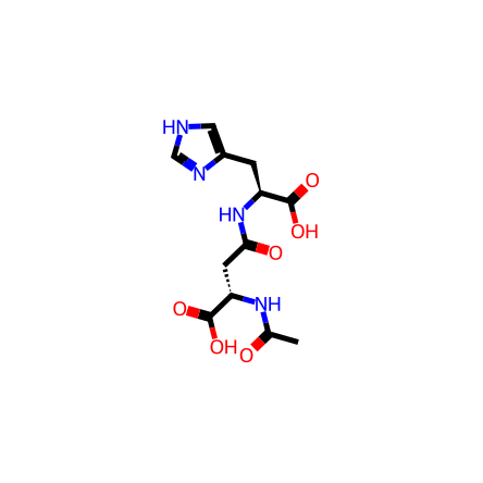 CC(=O)N[C@@H](CC(=O)N[C@@H](Cc1c[nH]cn1)C(=O)O)C(=O)O